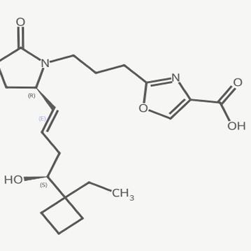 CCC1([C@@H](O)C/C=C/[C@H]2CCC(=O)N2CCCc2nc(C(=O)O)co2)CCC1